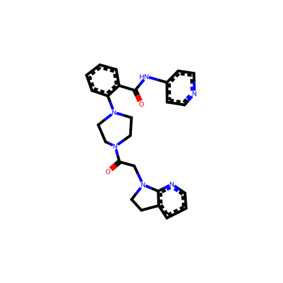 O=C(Nc1ccncc1)c1ccccc1N1CCN(C(=O)CN2CCc3cccnc32)CC1